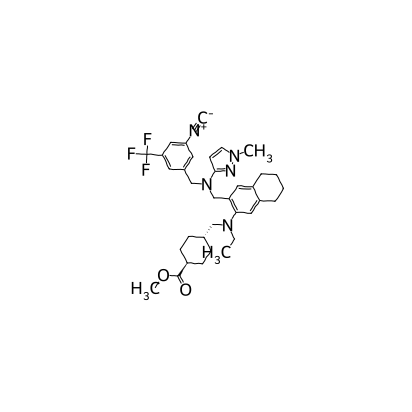 [C-]#[N+]c1cc(CN(Cc2cc3c(cc2N(CC)C[C@H]2CC[C@H](C(=O)OC)CC2)CCCC3)c2ccn(C)n2)cc(C(F)(F)F)c1